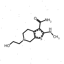 CNc1sc2c(c1C(N)=O)CCN(CCO)C2